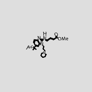 COC(=O)CCCNc1nc2ccc(C(C)(C)C(C)=O)cc2n1CCCN1CCCCC1